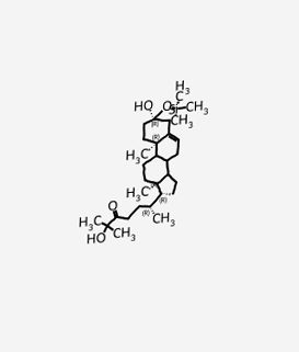 C[C@H](CCC(=O)C(C)(C)O)[C@H]1CCC2C3CC=C4C[C@](O)(O[Si](C)(C)C)CC[C@]4(C)C3CC[C@@]21C